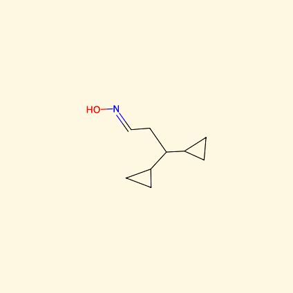 O/N=C/CC(C1CC1)C1CC1